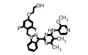 COc1cnccc1Nc1nc(-c2nn(Cc3c(F)cc(OCCO)cc3F)c3ccccc23)nc(C)c1C